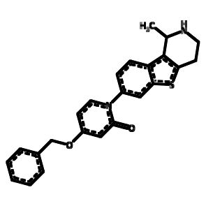 CC1NCCc2sc3cc(-n4ccc(OCc5ccccc5)cc4=O)ccc3c21